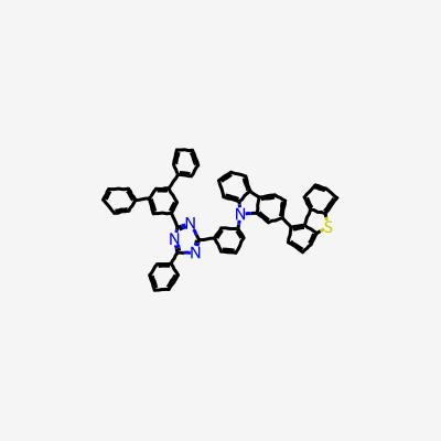 c1ccc(-c2cc(-c3ccccc3)cc(-c3nc(-c4ccccc4)nc(-c4cccc(-n5c6ccccc6c6ccc(-c7cccc8sc9ccccc9c78)cc65)c4)n3)c2)cc1